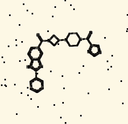 O=C(c1ccc2[nH]c(-c3ccccc3)nc2c1)N1CC(N2CCN(C(=O)c3cscn3)CC2)C1